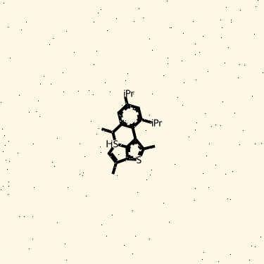 CC1=C[SH]2c3c1sc(C)c3-c1c(C(C)C)cc(C(C)C)cc1C2C